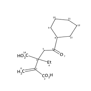 C=C(C(=O)O)C(CC)(CC(=O)C1CCCCC1)C(=O)O